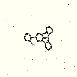 CC(C)c1ccccc1-c1cc2c3ccccc3n3c4ccccc4c(c1)c23